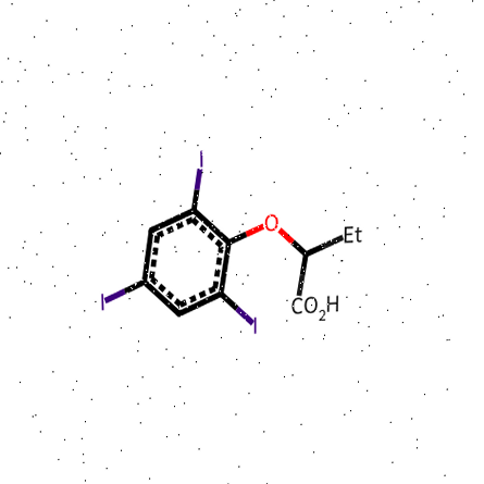 CCC(Oc1c(I)cc(I)cc1I)C(=O)O